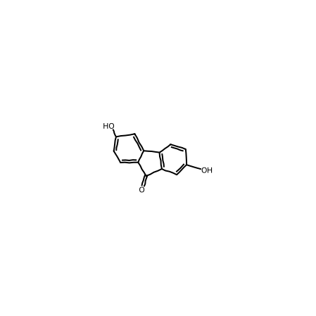 O=C1c2cc(O)ccc2-c2cc(O)ccc21